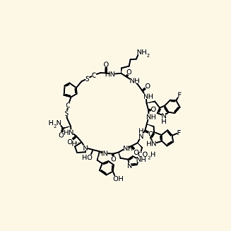 NCCCC[C@@H]1NC(=O)CCSCc2cccc(c2)CSC[C@H](C(N)=O)NC(=O)[C@@H]2CCCN2C(O)[C@H](Cc2ccc(O)cc2)NC(=O)[C@H](Cc2c[nH]cn2)NC(=O)[C@H](CC(=O)O)NC(=O)[C@H](Cc2c[nH]c3ccc(F)cc23)NC(=O)[C@H](Cc2c[nH]c3ccc(F)cc23)NC(=O)CNC1=O